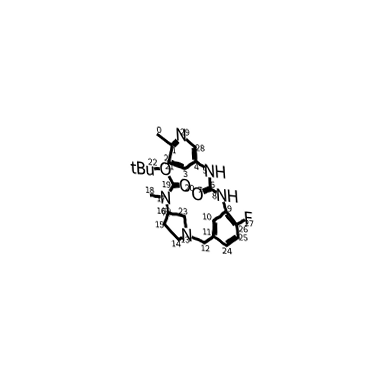 Cc1ccc(NC(=O)Nc2cc(CN3CC[C@@H](N(C)C(=O)OC(C)(C)C)C3)ccc2F)cn1